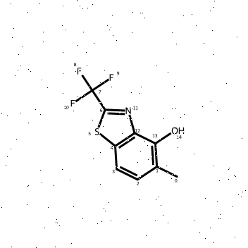 Cc1ccc2sc(C(F)(F)F)nc2c1O